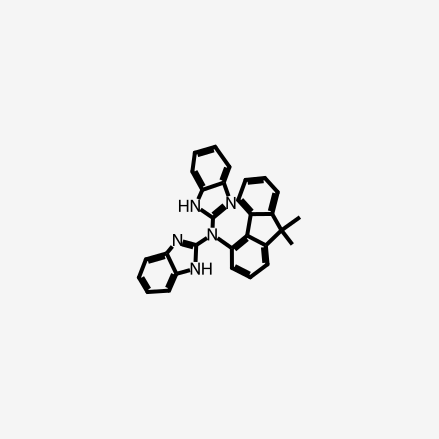 CC1(C)c2ccccc2-c2c(N(c3nc4ccccc4[nH]3)c3nc4ccccc4[nH]3)cccc21